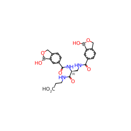 O=C(O)CCNC(=O)[C@H](CNC(=O)c1ccc2c(c1)B(O)OC2)NC(=O)c1ccc2c(c1)B(O)OC2